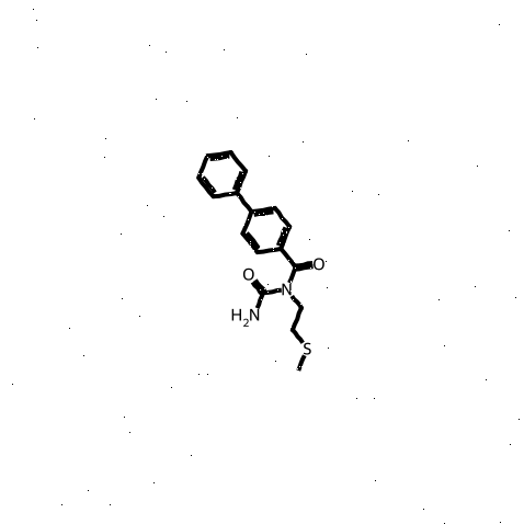 CSCCN(C(N)=O)C(=O)c1ccc(-c2ccccc2)cc1